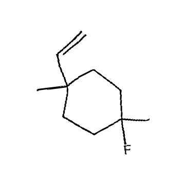 C=CC1(C)CCC(C)(F)CC1